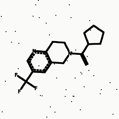 C=C(C1CCCC1)N1CCc2ncc(C(F)(F)F)cc2C1